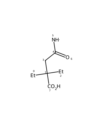 CCC(CC)(CC([NH])=O)C(=O)O